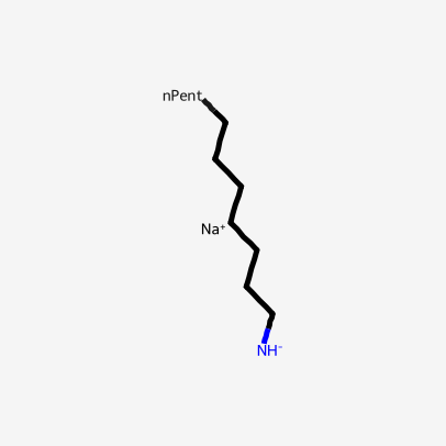 CCCCCCCCCCCC[NH-].[Na+]